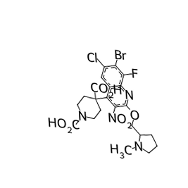 CN1CCCC1COc1nc2c(F)c(Br)c(Cl)cc2c(C2(C(=O)O)CCN(C(=O)O)CC2)c1[N+](=O)[O-]